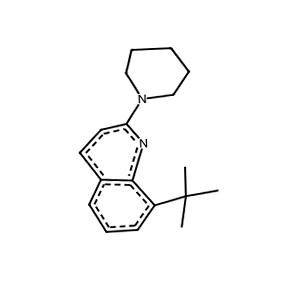 CC(C)(C)c1cccc2ccc(N3CCCCC3)nc12